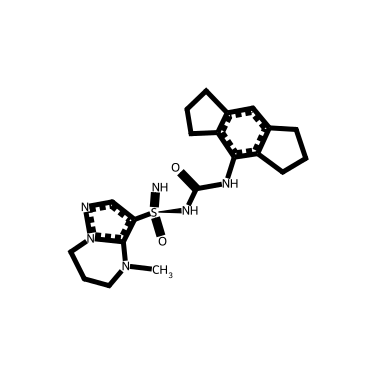 CN1CCCn2ncc([S@](=N)(=O)NC(=O)Nc3c4c(cc5c3CCC5)CCC4)c21